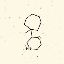 FC1(C2CNCCO2)CCCCCC1